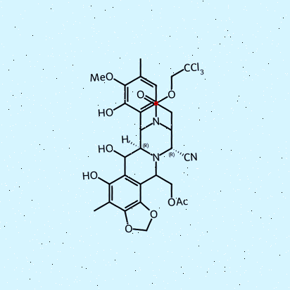 COc1c(C)cc2c(c1O)C1[C@@H]3C(O)c4c(O)c(C)c5c(c4C(COC(C)=O)N3[C@@H](C#N)C(C2)N1C(=O)OCC(Cl)(Cl)Cl)OCO5